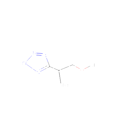 CCCCC(COC=O)c1nn[nH]n1